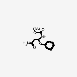 CCCCOC(=O)NC(CC(N)=O)Sc1ccccc1